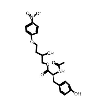 CC(=O)N[C@@H](Cc1ccc(O)cc1)C(=O)OCC(O)CCOc1ccc([N+](=O)[O-])cc1